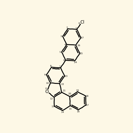 Clc1ccc2cc(-c3ccc4oc5ccc6ccccc6c5c4c3)ccc2c1